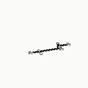 CC(C)CCCCOC(=O)CCCCCCCCCCCCC(CC(=O)OCCCCC(C)C)C(C)C